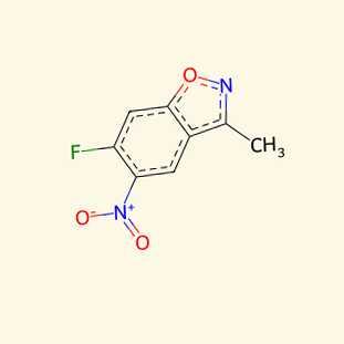 Cc1noc2cc(F)c([N+](=O)[O-])cc12